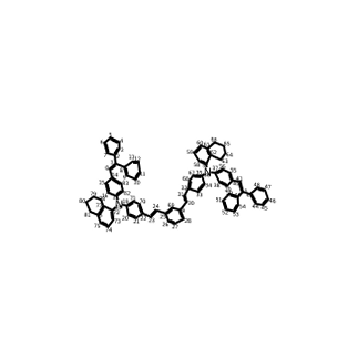 C(=C(c1ccccc1)c1ccccc1)c1ccc(N(c2ccc(/C=C/c3cccc(/C=C/c4ccc(N(c5ccc(C=C(c6ccccc6)c6ccccc6)cc5)c5cccc6c5CCCC6)cc4)c3)cc2)c2cccc3c2CCCC3)cc1